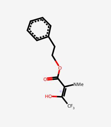 [CH2-][NH2+]/C(C(=O)OCCc1ccccc1)=C(/O)C(F)(F)F